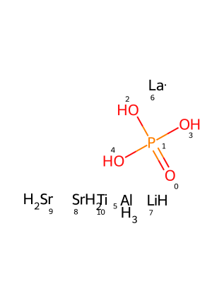 O=P(O)(O)O.[AlH3].[La].[LiH].[SrH2].[SrH2].[Ti]